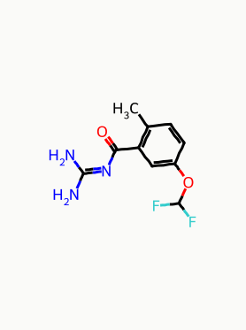 Cc1ccc(OC(F)F)cc1C(=O)N=C(N)N